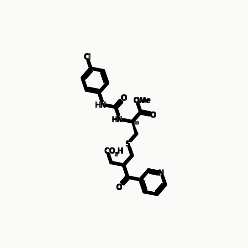 COC(=O)[C@@H](CSCC(CC(=O)O)C(=O)c1cccnc1)NC(=O)Nc1ccc(Cl)cc1